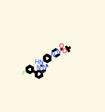 C=N/C=C1/C=CC=C(c2cccc(F)c2)/C1=N/CNc1ccc(N2CCN(C(=O)OC(C)(C)C)CC2)cc1